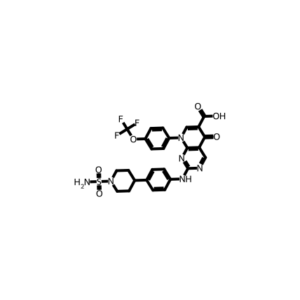 NS(=O)(=O)N1CCC(c2ccc(Nc3ncc4c(=O)c(C(=O)O)cn(-c5ccc(OC(F)(F)F)cc5)c4n3)cc2)CC1